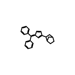 C1=CC(=C(c2ccccc2)c2ccccc2)C=C1C1CC2CCC1C2